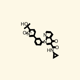 CC(C)(O)c1ccc(-c2cccc(-n3cc(C(=O)NC4CC4)c(=O)c4cccnc43)c2)c[n+]1[O-]